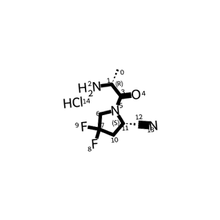 C[C@@H](N)C(=O)N1CC(F)(F)C[C@H]1C#N.Cl